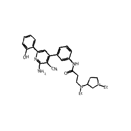 CCN1CCC(N(CC)CCC(=O)Nc2cccc(-c3cc(-c4ccccc4O)nc(N)c3C#N)c2)C1